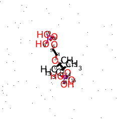 CC(C)(OCCOP(=O)(O)O)C(C)(C)OP(=O)(O)O